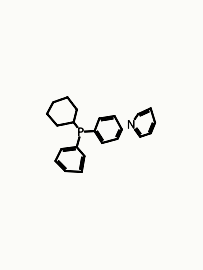 c1ccc(P(c2ccccc2)C2CCCCC2)cc1.c1ccncc1